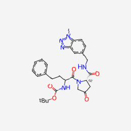 Cn1nnc2cc(CNC(=O)[C@@H]3CC(=O)CN3C(=O)C(CCc3ccccc3)NC(=O)OC(C)(C)C)ccc21